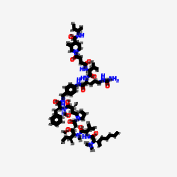 CCCCCC(C)[C@@H](C(=O)N[C@H](C(=O)N(C)[C@@H]([C@@H](C)CC)[C@@H](CC(=O)N1CCC[C@H]1[C@H](OC)[C@@H](C)C(=O)N[C@@H](Cc1ccccc1)C(=O)NCc1ccc(NC(=O)[C@H](CCCNC(N)=O)NC(=O)[C@@H](NC(=O)CCC(=O)N2CCC(C(=O)NC(C)CC)C(C)C2)C(C)C)cc1)OC)C(C)C)N(C)C